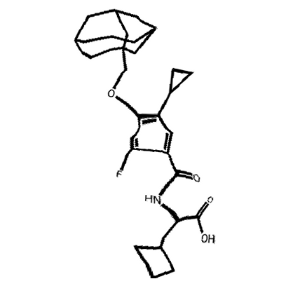 O=C(NC(C(=O)O)C1CCC1)c1cc(C2CC2)c(OCC23CC4CC(CC(C4)C2)C3)cc1F